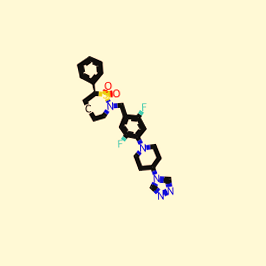 O=S1(=O)[C@H](c2ccccc2)CCCCN1Cc1cc(F)c(N2CCC(n3cnnc3)CC2)cc1F